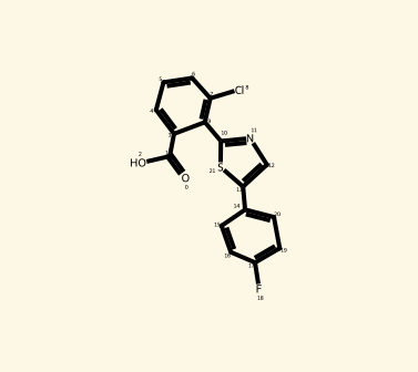 O=C(O)c1cccc(Cl)c1-c1ncc(-c2ccc(F)cc2)s1